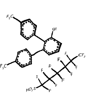 FC(F)(F)c1ccc(-c2cccc(S)c2-c2ccc(C(F)(F)F)cc2)cc1.O=S(=O)(O)C(F)(F)C(F)(F)C(F)(F)C(F)(F)C(F)(F)C(F)(F)F